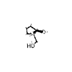 O=C1CCCN1[CH]O